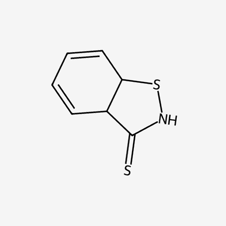 S=C1NSC2C=CC=CC12